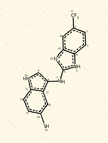 FC(F)(F)c1ccc2[nH]c(Nc3c[nH]c4ccc(S)cc34)nc2c1